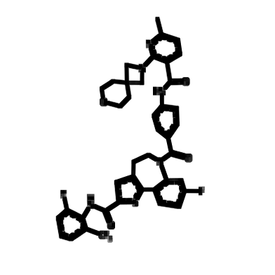 Cc1ccc(C(=O)Nc2ccc(C(=O)N3CCc4cc(C(=O)Nc5c(F)cccc5C(F)(F)F)sc4-c4ccc(F)cc43)cc2)c(N2CC3(CCOCC3)C2)n1